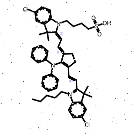 CCCCC[N+]1=C(/C=C/C2=C(N(c3ccccc3)c3ccccc3)C(=C/C=C3/N(CCCCS(=O)(=O)O)c4ccc(Cl)cc4C3(C)C)/CC2)C(C)(C)c2cc(Cl)ccc21